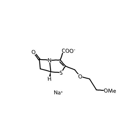 COCCOCC1=C(C(=O)[O-])N2C(=O)C[C@H]2S1.[Na+]